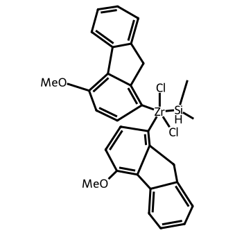 COc1cc[c]([Zr]([Cl])([Cl])([c]2ccc(OC)c3c2Cc2ccccc2-3)[SiH](C)C)c2c1-c1ccccc1C2